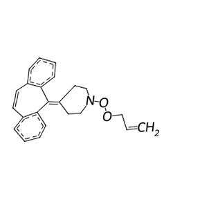 C=CCOON1CCC(=C2c3ccccc3C=Cc3ccccc32)CC1